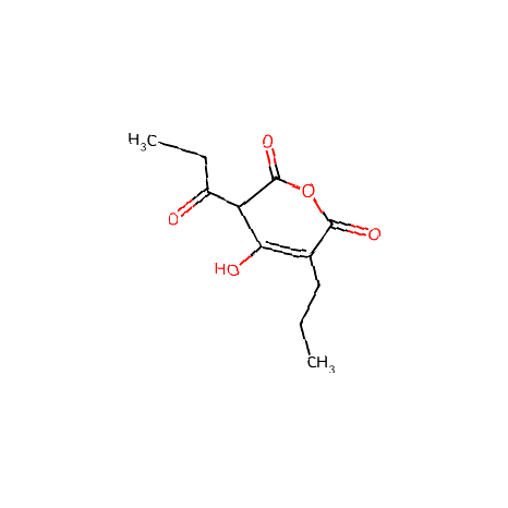 CCCC1=C(O)C(C(=O)CC)C(=O)OC1=O